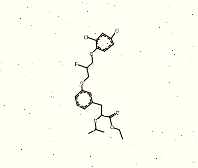 CCOC(=O)C(Cc1cccc(OCC(F)COc2ccc(Cl)cc2Cl)c1)OC(C)C